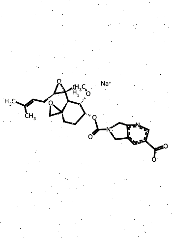 CO[C@@H]1[C@H](OC(=O)N2Cc3cc(C(=O)[O-])cnc3C2)CC[C@]2(CO2)[C@H]1[C@@]1(C)O[C@@H]1CC=C(C)C.[Na+]